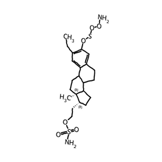 CCc1cc2c(cc1OSOON)CCC1C2CC[C@@]2(C)C1CC[C@@H]2CCOS(N)(=O)=O